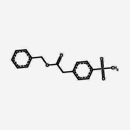 CS(=O)(=O)c1ccc(CC(=O)OCc2ccccc2)cc1